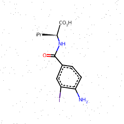 CC(C)[C@H](NC(=O)c1ccc(N)c(I)c1)C(=O)O